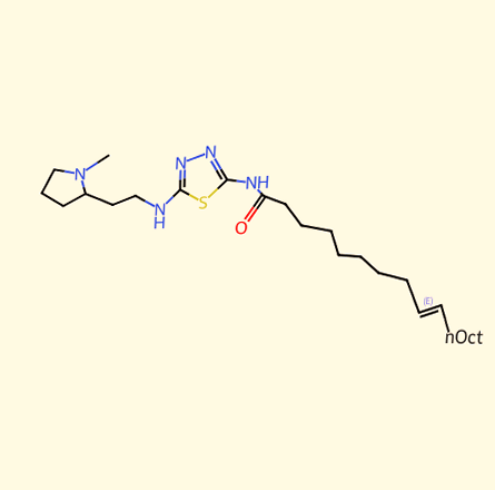 CCCCCCCC/C=C/CCCCCCCC(=O)Nc1nnc(NCCC2CCCN2C)s1